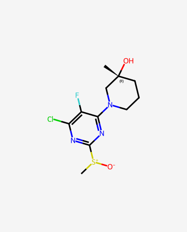 C[S+]([O-])c1nc(Cl)c(F)c(N2CCC[C@@](C)(O)C2)n1